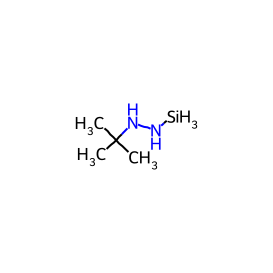 CC(C)(C)NN[SiH3]